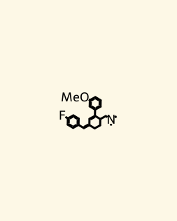 COc1cccc(C2=CC(=Cc3ccc(F)cc3)CCC2CN(C)C)c1